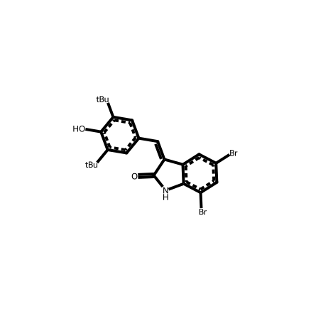 CC(C)(C)c1cc(C=C2C(=O)Nc3c(Br)cc(Br)cc32)cc(C(C)(C)C)c1O